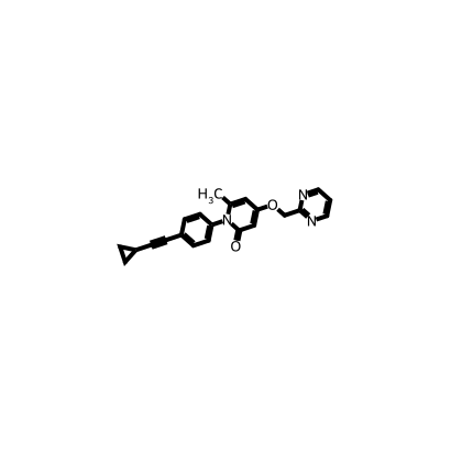 Cc1cc(OCc2ncccn2)cc(=O)n1-c1ccc(C#CC2CC2)cc1